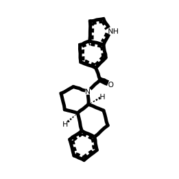 O=C(c1ccc2cc[nH]c2c1)N1CCC[C@@H]2c3ccccc3CC[C@@H]21